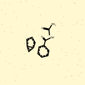 CC(N)=O.O=C(O)c1ccccc1.c1cc2cc-2c1